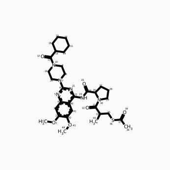 COc1cc2nc(N3CCN(C(=O)C4CCCCC4)CC3)nc(NC(=O)C3CCCN3C(=O)C(C)CSC(C)=O)c2cc1OC